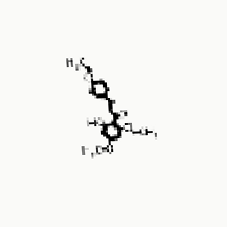 CCOc1ccc(C=CC(=O)c2c(O)cc(OC)cc2OCC)cc1